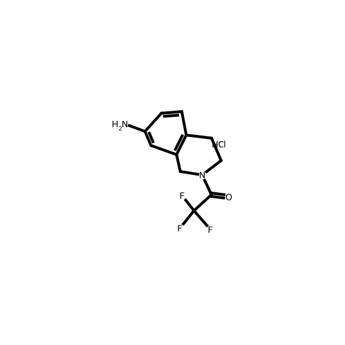 Cl.Nc1ccc2c(c1)CN(C(=O)C(F)(F)F)CC2